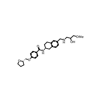 COCC(O)CNCc1ccc2c(c1)CC[C@H](NC(=O)c1ccc(OC[C@@H]3CCCO3)cc1)C2